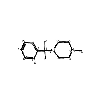 CN1CCN(C(C)(C)c2ccccn2)CC1